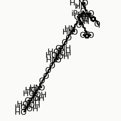 CC(C)[C@H](NC(=O)[C@H](CCCCNC(=O)NCCOCCOCCNC(=O)[C@@H](O)[C@@H](O)[C@H](O)[C@@H](O)C(=O)NCCOCCOCCOCCOCCC(=O)NC[C@H](O)[C@@H](O)[C@H](O)[C@H](O)CNC(=O)[C@H](O)[C@@H](O)[C@H](O)[C@H](O)CO)NC(=O)CCCCCN1C(=O)C=CC1=O)C(=O)N[C@@H](CCCNC(N)=O)C(=O)Nc1ccc(COI)cc1